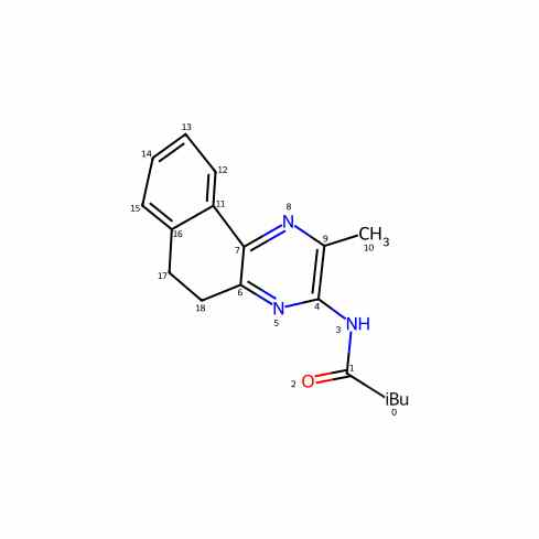 CCC(C)C(=O)Nc1nc2c(nc1C)-c1ccccc1CC2